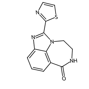 O=C1NCCn2c(-c3nccs3)nc3cccc1c32